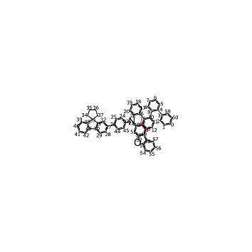 c1ccc(-c2ccccc2-c2ccccc2-c2ccccc2N(c2ccc(-c3ccc4c(c3)C3(CCCC3)c3ccccc3-4)cc2)c2ccc3c(c2)oc2ccccc23)cc1